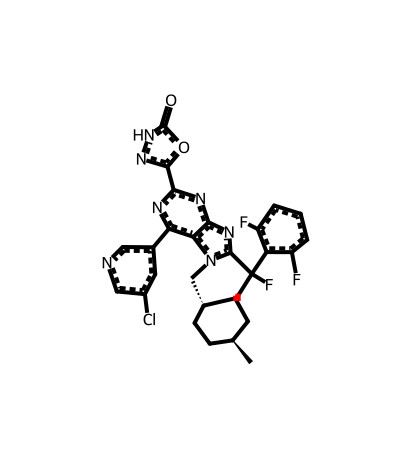 CC(F)(c1c(F)cccc1F)c1nc2nc(-c3n[nH]c(=O)o3)nc(-c3cncc(Cl)c3)c2n1C[C@H]1CC[C@H](C)CC1